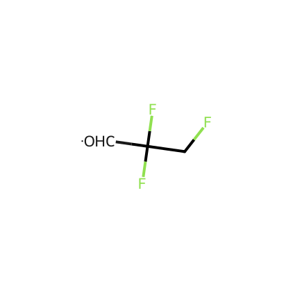 O=[C]C(F)(F)CF